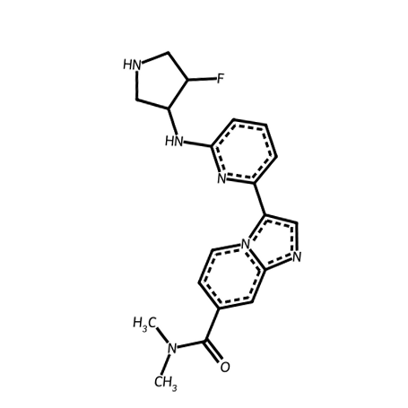 CN(C)C(=O)c1ccn2c(-c3cccc(NC4CNCC4F)n3)cnc2c1